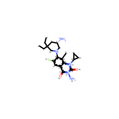 CCC1(CC)C[C@H](N)CN(c2c(F)cc3c(=O)n(N)c(=O)n(C4CC4)c3c2C)C1